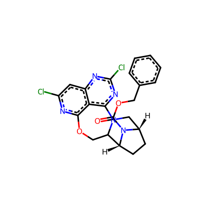 O=C(OCc1ccccc1)N1[C@H]2CC[C@@H]1C1COc3nc(Cl)cc4nc(Cl)nc(c34)N1C2